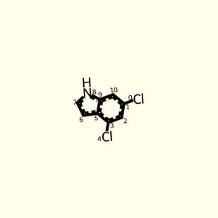 Clc1cc(Cl)c2cc[nH]c2c1